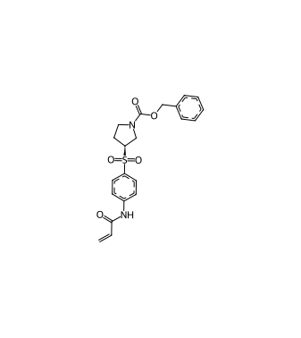 C=CC(=O)Nc1ccc(S(=O)(=O)[C@H]2CCN(C(=O)OCc3ccccc3)C2)cc1